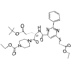 CCOC(=O)CSc1cc(C(=O)N[C@@H](CCC(=O)OC(C)(C)C)C(=O)N2CCN(C(=O)OCC)CC2)nc(-c2ccccc2)n1